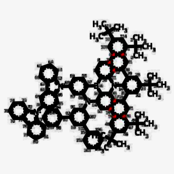 CC(C)(C)c1cc(-c2ccc3c(c2)N(c2c(-c4ccccc4)cc(C(C)(C)C)cc2-c2ccccc2)c2cc(-c4cc(C(C)(C)C)cc(C(C)(C)C)c4)cc4c2B3c2ccc(-n3c5ccccc5c5cc(-n6c7ccccc7c7ccccc76)ccc53)cc2N4c2cc(-c3ccccc3)cc(-c3ccccc3)c2)cc(C(C)(C)C)c1